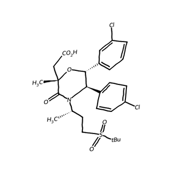 C[C@@H](CCS(=O)(=O)C(C)(C)C)N1C(=O)[C@](C)(CC(=O)O)O[C@H](c2cccc(Cl)c2)[C@H]1c1ccc(Cl)cc1